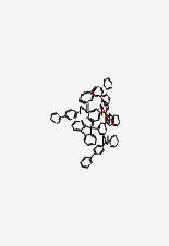 c1ccc(-c2ccc(N(c3ccccc3)c3cc(N(c4ccccc4)c4ccc(-c5ccccc5)cc4)cc(C4(c5cc(N(c6ccccc6)c6ccc(-c7ccccc7)cc6)cc(N(c6ccccc6)c6ccc(-c7ccccc7)cc6)c5)c5ccccc5-c5ccccc54)c3)cc2)cc1